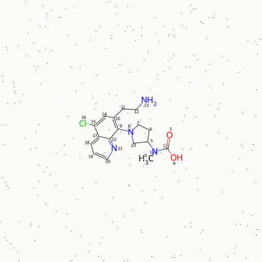 CN(C(=O)O)C1CCN(c2c(CCN)cc(Cl)c3cccnc23)C1